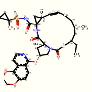 CC[C@H]1CC(=O)N2C[C@H](Oc3nccc4c5c(ccc34)OCCO5)C[C@H]2C(=O)N[C@]2(C(=O)NS(=O)(=O)C3(C)CC3)C[C@H]2/C=C\CC[C@H](C)C1